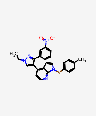 CCn1cc(-c2ccnc3c2ccn3Sc2ccc(C)cc2)c(-c2cccc([N+](=O)[O-])c2)n1